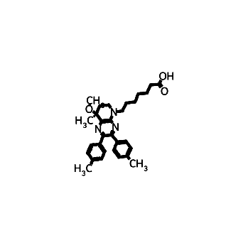 CO[C@]1(C)CCN(CCCCCCC(=O)O)c2nc(-c3ccc(C)cc3)c(-c3ccc(C)cc3)nc21